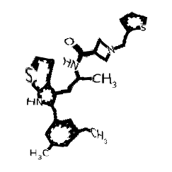 Cc1cc(C)cc(-c2[nH]c3sccc3c2CC(C)NC(=O)C2CN(Cc3cccs3)C2)c1